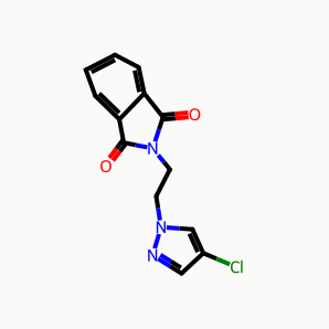 O=C1c2ccccc2C(=O)N1CCn1cc(Cl)cn1